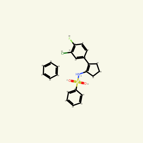 O=S(=O)(NC1=C(c2ccc(F)c(Cl)c2)CCC1)c1ccccc1.c1ccccc1